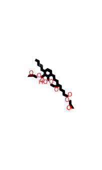 CC/C=C/CC1C=CC(CCCCCCCCC(=O)OCC2CO2)C(C(O)OCC2CO2)C1C(=O)OCC1CO1